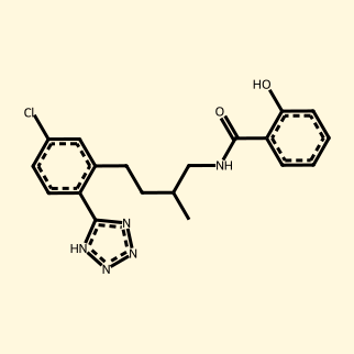 CC(CCc1cc(Cl)ccc1-c1nnn[nH]1)CNC(=O)c1ccccc1O